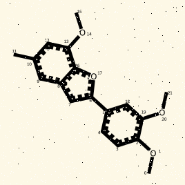 COc1ccc(-c2cc3cc(C)cc(OC)c3o2)cc1OC